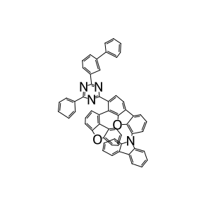 c1ccc(-c2cccc(-c3nc(-c4ccccc4)nc(-c4ccc5c(oc6c(-n7c8ccccc8c8ccccc87)cccc65)c4-c4cccc5oc6ccccc6c45)n3)c2)cc1